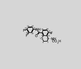 O=C(O)N[C@@H]1CCSc2c(C(=O)Nc3ccc(F)c(F)c3)ccc(F)c21